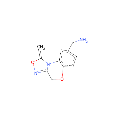 C=C1ON=C2COc3ccc(CN)cc3N12